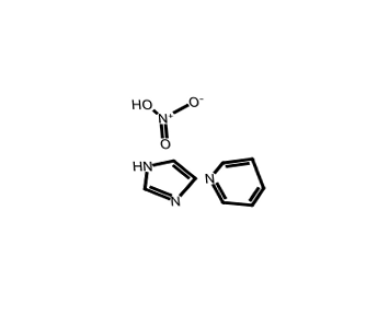 O=[N+]([O-])O.c1c[nH]cn1.c1ccncc1